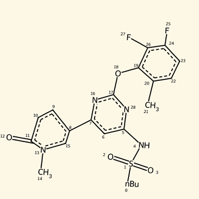 CCCCS(=O)(=O)Nc1cc(-c2ccc(=O)n(C)c2)nc(Oc2c(C)ccc(F)c2F)n1